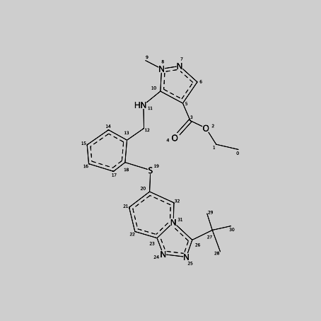 CCOC(=O)c1cnn(C)c1NCc1ccccc1Sc1ccc2nnc(C(C)(C)C)n2c1